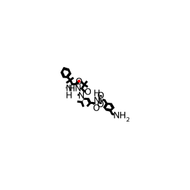 CN[C@H](C(=O)N[C@H](C(=O)N(C)[C@H](C=C(C)C(=O)NS(=O)(=O)Cc1ccc(CN)cc1)C(C)C)C(C)(C)C)C(C)(C)c1ccccc1